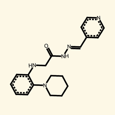 O=C(CNc1ccccc1N1CCCCC1)N/N=C/c1ccncc1